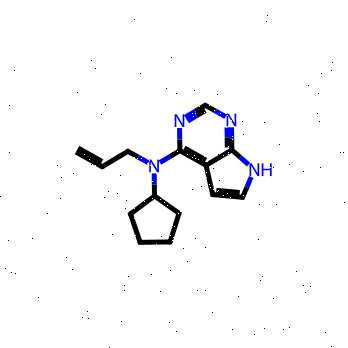 C=CCN(c1ncnc2[nH]ccc12)C1CCCC1